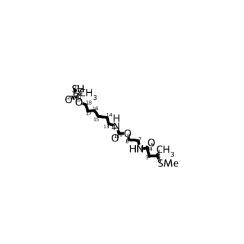 CSC(C)CC(=O)NCCOC(=O)NCCCCCCOP(C)(=O)S